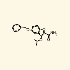 CC(C)Oc1c(C(N)=O)oc2ccc(OCc3ccccc3)cc12